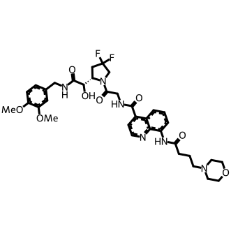 COc1ccc(CNC(=O)C(O)[C@@H]2CC(F)(F)CN2C(=O)CNC(=O)c2ccnc3c(NC(=O)CCCN4CCOCC4)cccc23)cc1OC